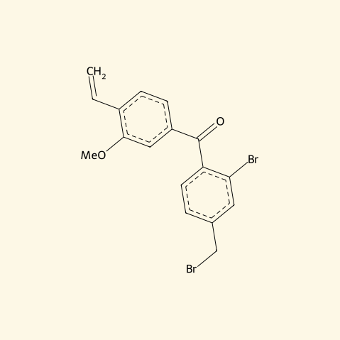 C=Cc1ccc(C(=O)c2ccc(CBr)cc2Br)cc1OC